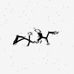 CC(C#N)(NC(=O)C(Br)CBr)C1CC1